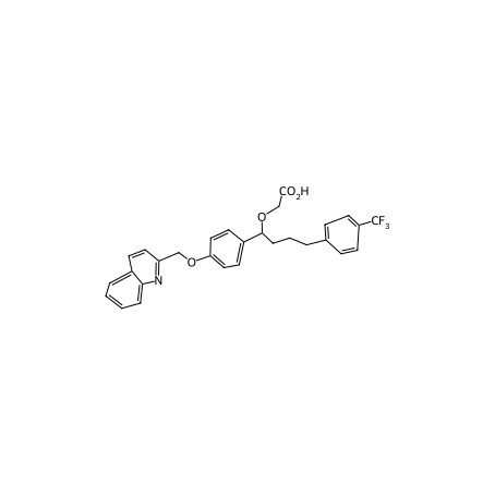 O=C(O)COC(CCCc1ccc(C(F)(F)F)cc1)c1ccc(OCc2ccc3ccccc3n2)cc1